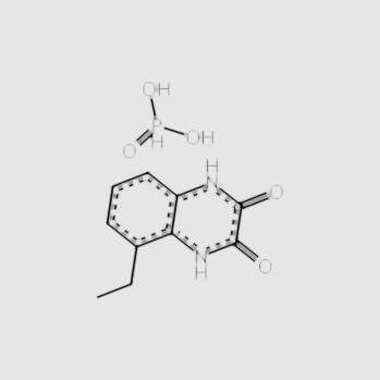 CCc1cccc2[nH]c(=O)c(=O)[nH]c12.O=[PH](O)O